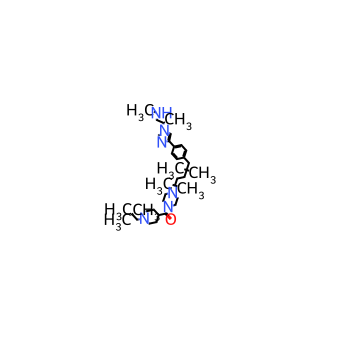 CNC[C@@H](C)n1cnc(-c2ccc(CC(C)(C)CCC(C)(C)N3CCN(C(=O)C4CCN(CC(C)(C)C)CC4)CC3)cc2)c1